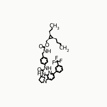 C=CCC[C@@H]1[C@H](CCC)[C@@H]1COC(=O)NCc1ccc(NC(=O)N2c3nc(-c4cccc(C(F)(F)F)c4)ccc3N3CC[C@H]2C3)cc1